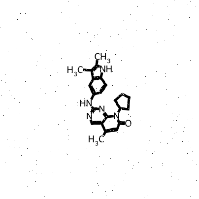 Cc1[nH]c2ccc(Nc3ncc4c(C)cc(=O)n(C5CCCC5)c4n3)cc2c1C